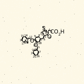 O=C(O)CN1C(=O)/C(=C/c2ccc(OCc3ccccn3)c(OCc3ccccc3)c2)SC1=S